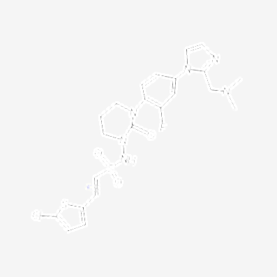 CN(C)Cc1nccn1-c1ccc(N2CCCN(NS(=O)(=O)/C=C/c3ccc(Cl)s3)C2=O)c(F)c1